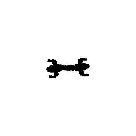 COc1ccc(Oc2cc3c4c(cc(Oc5ccc(OC)cc5)c5c4c2-c2ccc4c6c2C5CC=C6c2cc5cc6c(cc5cc2-4)CCc2cc4cc5c(cc4cc2/C=C\6)-c2ccc4c6c(Oc7ccc(OC)cc7)cc7c8c(cc(Oc9ccc(OC)cc9)c(c9ccc-5c2c49)c86)C(=O)N(c2c(C(C)C)cccc2C(C)C)C7=O)C(=O)N(c2c(C(C)C)cccc2C(C)C)C3=O)cc1